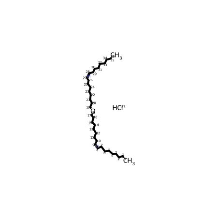 CCCCCCCC/C=C\CCCCCCCCOCCCCCCCC/C=C\CCCCCCCC.Cl